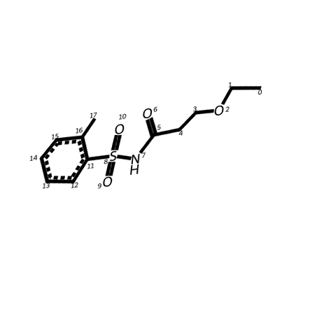 CCOCCC(=O)NS(=O)(=O)c1ccccc1C